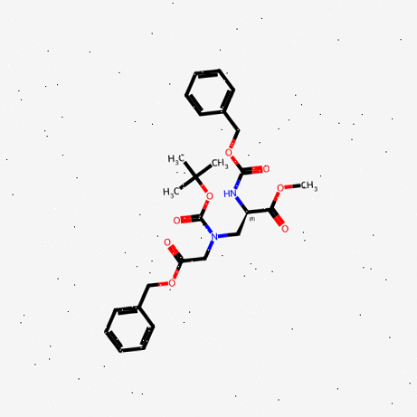 COC(=O)[C@@H](CN(CC(=O)OCc1ccccc1)C(=O)OC(C)(C)C)NC(=O)OCc1ccccc1